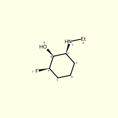 CCN[C@H]1CCC[C@@H](F)[C@H]1O